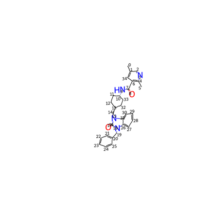 Cc1cnc(C)c(C(=O)N[C@H]2CC[C@H](Cn3c(=O)n(Cc4ccccc4)c4ccccc43)CC2)c1